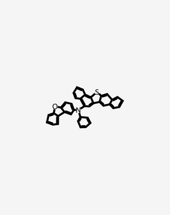 c1ccc(N(c2ccc3oc4ccccc4c3c2)c2cc3c4cc5ccccc5cc4sc3c3ccccc23)cc1